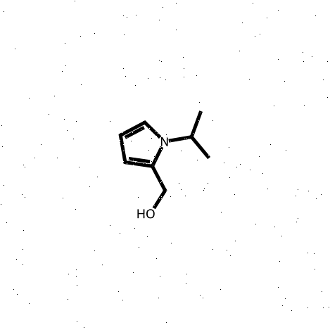 CC(C)n1cccc1CO